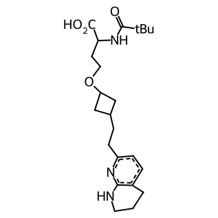 CC(C)(C)C(=O)NC(CCOC1CC(CCc2ccc3c(n2)NCCC3)C1)C(=O)O